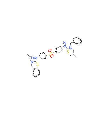 CC(C)CN(Cc1ccccc1)C(=S)Nc1ccc(S(=O)(=O)c2ccc(NC(=S)N(Cc3ccccc3)CC(C)C)cc2)cc1